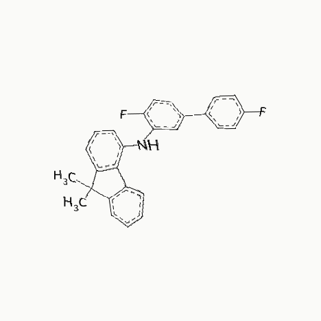 CC1(C)c2ccccc2-c2c(Nc3cc(-c4ccc(F)cc4)ccc3F)cccc21